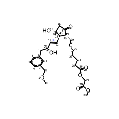 COCc1cccc(C[C@H](O)/C=C/[C@H]2[C@H](O)CC(=O)[C@@H]2CCSCCCC(=O)OCC(=O)OC)c1